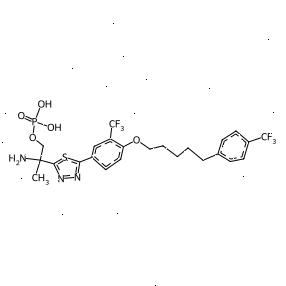 CC(N)(COP(=O)(O)O)c1nnc(-c2ccc(OCCCCCc3ccc(C(F)(F)F)cc3)c(C(F)(F)F)c2)s1